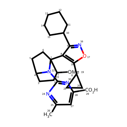 COC1CCC2CCC1(c1c(C3CCCCC3)noc1C1CC1)N2c1nc(C)cc(C(=O)O)n1